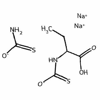 CCC(NC([O-])=S)C(=O)O.NC([O-])=S.[Na+].[Na+]